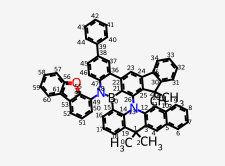 CC1(C)c2cc3ccccc3cc2N2c3c(cccc31)B1c3c(cc4c(c32)C(C)(C)c2ccccc2-4)-c2cc(-c3ccccc3)ccc2N1c1cccc2c1oc1ccccc12